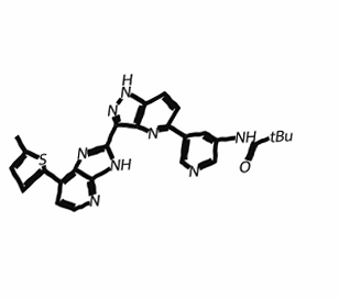 Cc1ccc(-c2ccnc3[nH]c(-c4n[nH]c5ccc(-c6cncc(NC(=O)C(C)(C)C)c6)nc45)nc23)s1